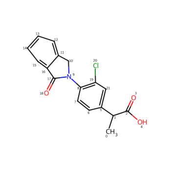 CC(C(=O)O)c1ccc(N2Cc3ccccc3C2=O)c(Cl)c1